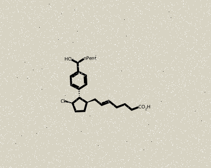 CCCCCC(O)c1ccc([C@@H]2[C@@H](CC=CCCCC(=O)O)CC[C@H]2Cl)cc1